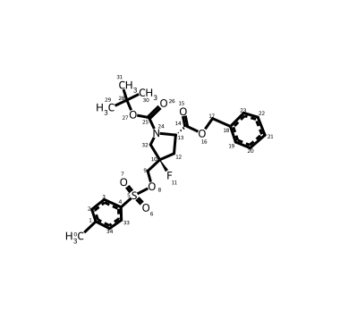 Cc1ccc(S(=O)(=O)OC[C@@]2(F)C[C@@H](C(=O)OCc3ccccc3)N(C(=O)OC(C)(C)C)C2)cc1